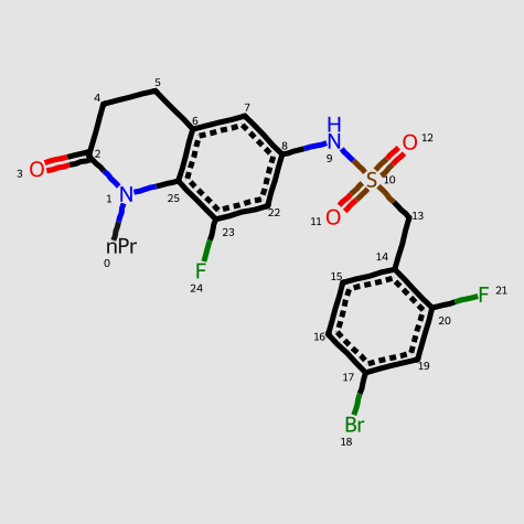 CCCN1C(=O)CCc2cc(NS(=O)(=O)Cc3ccc(Br)cc3F)cc(F)c21